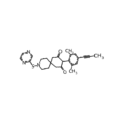 CC#Cc1cc(C)c(C2C(=O)CC3(CCN(Sc4cnccn4)CC3)CC2=O)c(C)c1